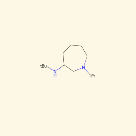 CC(C)N1CCCCC(NC(C)(C)C)C1